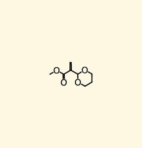 C=C(C(=O)OC)C1OCCCO1